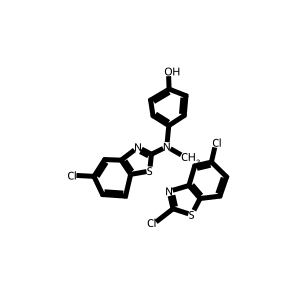 CN(c1ccc(O)cc1)c1nc2cc(Cl)ccc2s1.Clc1ccc2sc(Cl)nc2c1